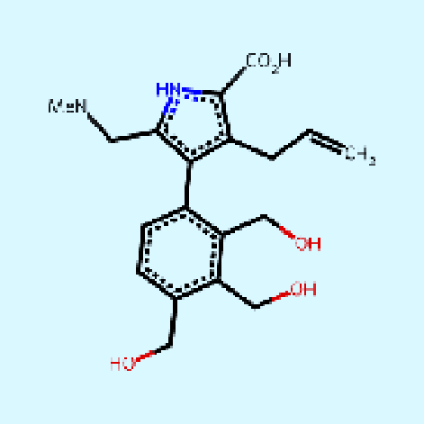 C=CCc1c(C(=O)O)[nH]c(CNC)c1-c1ccc(CO)c(CO)c1CO